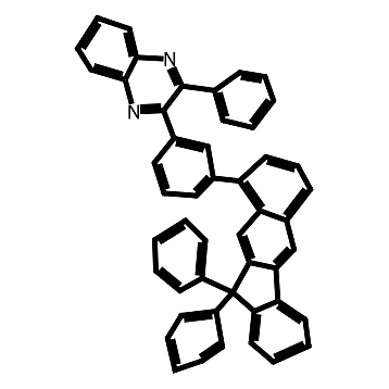 c1ccc(-c2nc3ccccc3nc2-c2cccc(-c3cccc4cc5c(cc34)C(c3ccccc3)(c3ccccc3)c3ccccc3-5)c2)cc1